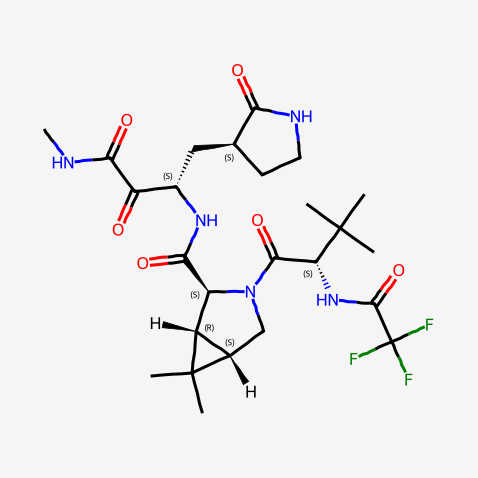 CNC(=O)C(=O)[C@H](C[C@@H]1CCNC1=O)NC(=O)[C@@H]1[C@@H]2[C@H](CN1C(=O)[C@@H](NC(=O)C(F)(F)F)C(C)(C)C)C2(C)C